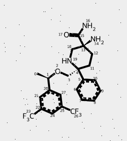 C[C@@H](OC[C@@]1(c2ccccc2)CC[C@@](N)(C(N)=O)CN1)c1cc(C(F)(F)F)cc(C(F)(F)F)c1